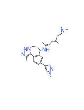 C/C(=C\C=C(/C)NC1CCn2nnc(C)c2-c2ccc(-c3cnn(C)c3)cc21)CCN(C)C